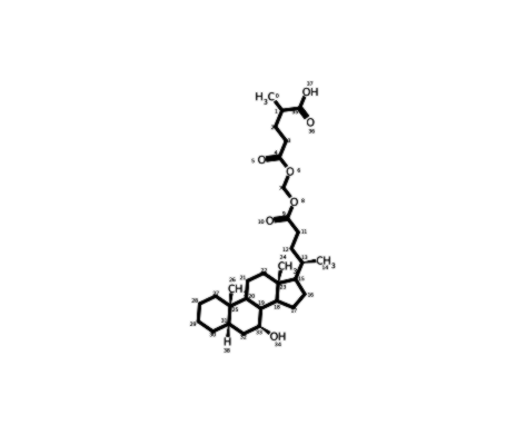 CC(CCC(=O)OCOC(=O)CC[C@@H](C)C1CCC2C3C(CC[C@@]21C)[C@@]1(C)CCCC[C@H]1C[C@@H]3O)C(=O)O